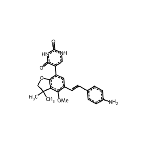 COc1c(/C=C/c2ccc(N)cc2)cc(-c2c[nH]c(=O)[nH]c2=O)c2c1C(C)(C)CO2